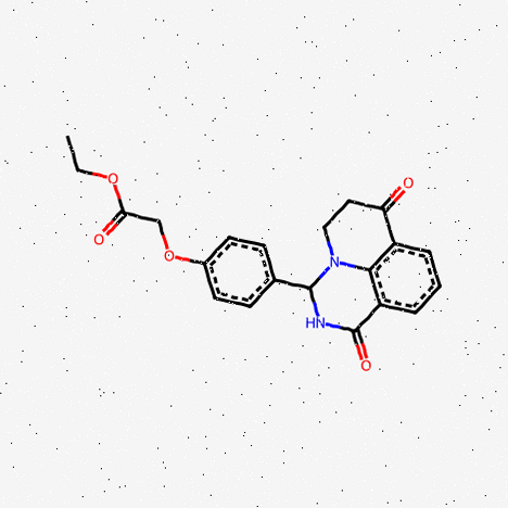 CCOC(=O)COc1ccc(C2NC(=O)c3cccc4c3N2CCC4=O)cc1